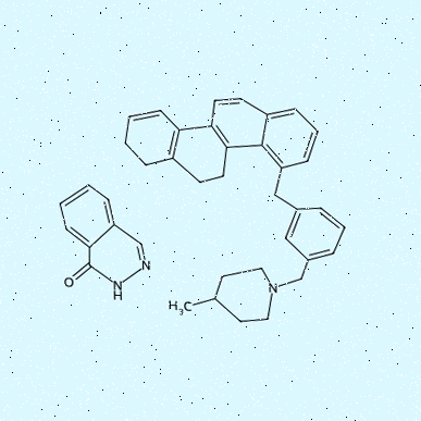 CC1CCN(Cc2cccc(Cc3cccc4ccc5c(c34)CCC3=C5C=CCC3)c2)CC1.O=c1[nH]ncc2ccccc12